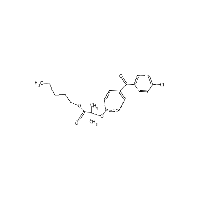 CCCCCOC(=O)C(C)(C)Oc1ccc(C(=O)c2ccc(Cl)cc2)cc1